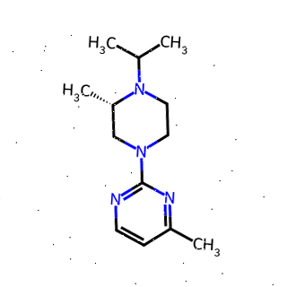 Cc1ccnc(N2CCN(C(C)C)[C@@H](C)C2)n1